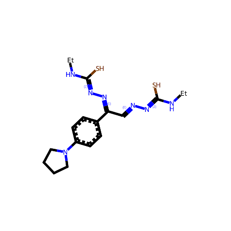 CCN/C(S)=N/N=C/C(=N/N=C(\S)NCC)c1ccc(N2CCCC2)cc1